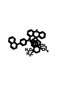 CC1(C)CCC(C)(C)c2cc(N(c3ccc(-c4cccc5ccccc45)cc3)c3cccc4c3C3(c5ccccc5S4)C4CC5CC6CC3C64C5)ccc21